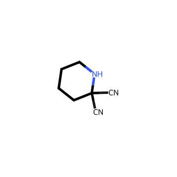 N#CC1(C#N)CCCCN1